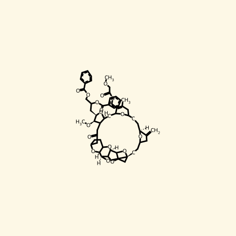 C=C1CC2CC[C@@]34CC5OC6[C@@H](OC7CCC(CC(=O)CC8[C@H](CC9OC(CC[C@@H]1O2)CC(C)=C9COC(=O)COC)O[C@H](CC(COC(=O)c1ccccc1)OC(=O)c1ccccc1)[C@@H]8OC)O[C@@H]7[C@@H]6O3)C5O4